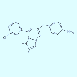 CC1=CN2C=C(Cc3ccc(N)cc3)C=C(c3cccc(Cl)c3)C2N1